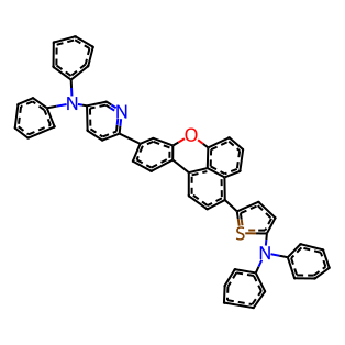 c1ccc(N(c2ccccc2)c2ccc(-c3ccc4c(c3)Oc3cccc5c(-c6ccc(N(c7ccccc7)c7ccccc7)s6)ccc-4c35)nc2)cc1